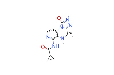 C[C@H]1c2nn(C)c(=O)n2-c2ccnc(NC(=O)C3CC3)c2N1C